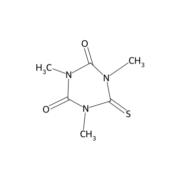 Cn1c(=O)n(C)c(=S)n(C)c1=O